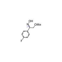 COC/C(=N\O)c1ccc(F)cc1